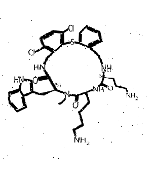 CN1C(=O)C(CCCCN)NC(=O)[C@H](CCCN)NCc2ccccc2Sc2c(Cl)ccc(Cl)c2CNC(=O)[C@@H]1Cc1c[nH]c2ccccc12